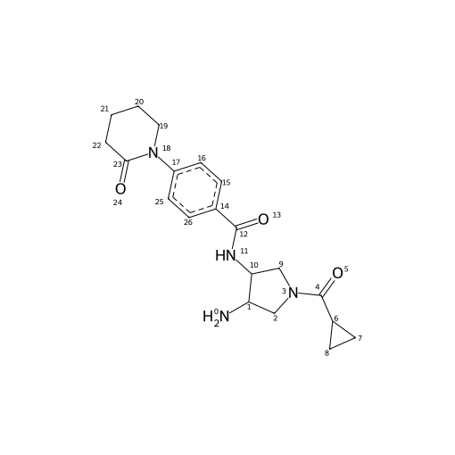 NC1CN(C(=O)C2CC2)CC1NC(=O)c1ccc(N2CCCCC2=O)cc1